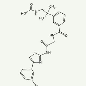 CC(C)(CNC(=O)O)c1cccc(C(=O)NCC(=O)Nc2nc(-c3cccc(Br)c3)cs2)c1